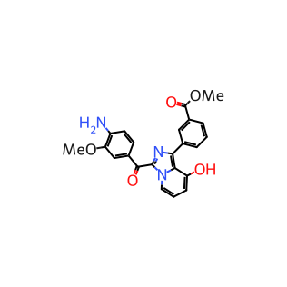 COC(=O)c1cccc(-c2nc(C(=O)c3ccc(N)c(OC)c3)n3cccc(O)c23)c1